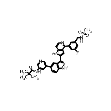 CC(C)(C)C(=O)Nc1cncc(-c2ccc3[nH]nc(-c4cc5c(-c6cc(F)cc(CNS(C)(=O)=O)c6)nccc5[nH]4)c3c2)c1